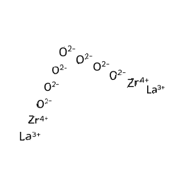 [La+3].[La+3].[O-2].[O-2].[O-2].[O-2].[O-2].[O-2].[O-2].[Zr+4].[Zr+4]